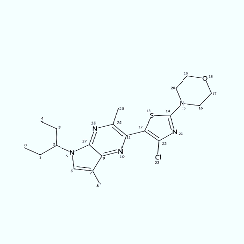 CCC(CC)n1cc(C)c2nc(-c3sc(N4CCOCC4)nc3Cl)c(C)nc21